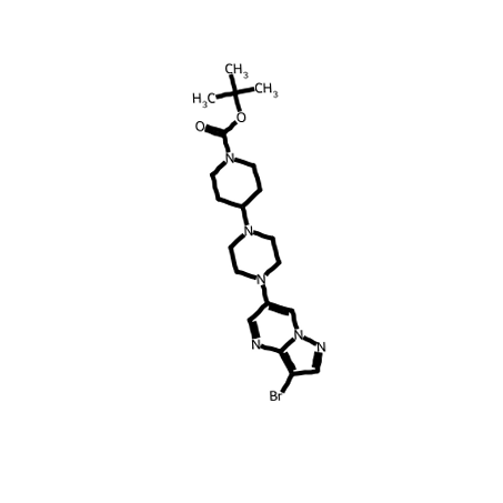 CC(C)(C)OC(=O)N1CCC(N2CCN(c3cnc4c(Br)cnn4c3)CC2)CC1